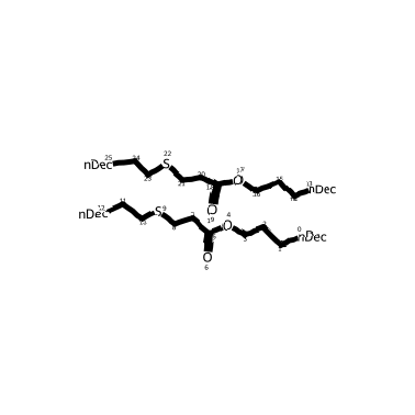 CCCCCCCCCCCCCOC(=O)CCSCCCCCCCCCCCC.CCCCCCCCCCCCCOC(=O)CCSCCCCCCCCCCCC